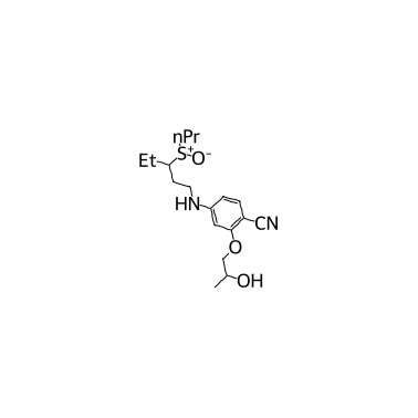 CCC[S+]([O-])C(CC)CCNc1ccc(C#N)c(OCC(C)O)c1